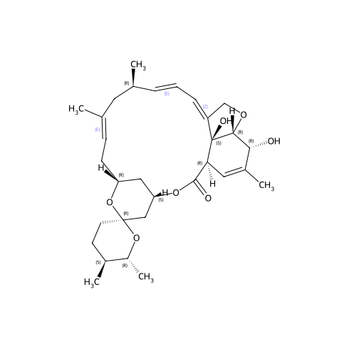 CC1=C[C@H]2C(=O)O[C@H]3C[C@@H](C/C=C(\C)C[C@@H](C)/C=C/C=C4/CO[C@H]([C@@H]1O)[C@@]42O)O[C@@]1(CC[C@H](C)[C@@H](C)O1)C3